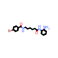 Nc1ccccc1NC(=O)CCCCCNC(=O)c1ccc(Br)cc1